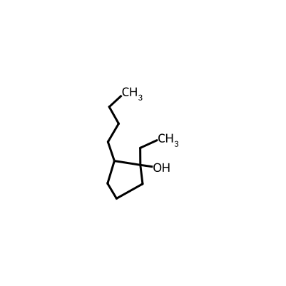 CCCCC1CCCC1(O)CC